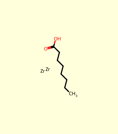 CCCCCCCC(=O)O.[Zr].[Zr]